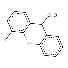 Cc1cccc2c1Sc1ccccc1C2C=O